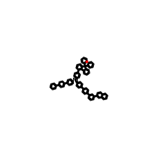 C1=C(c2ccccc2)CCC(c2ccc(N(c3ccc(-c4ccc(-c5cccc(-c6ccc7ccccc7c6)c5)cc4)cc3)c3ccc(-c4cccc5c4-c4ccccc4C5(c4ccccc4)c4ccccc4)cc3)cc2)=C1